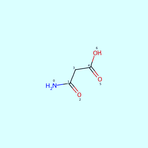 NC(=O)CC(=O)O